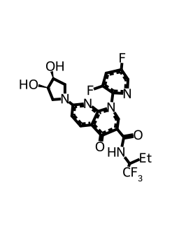 CCC(NC(=O)c1cn(-c2ncc(F)cc2F)c2nc(N3C[C@@H](O)[C@@H](O)C3)ccc2c1=O)C(F)(F)F